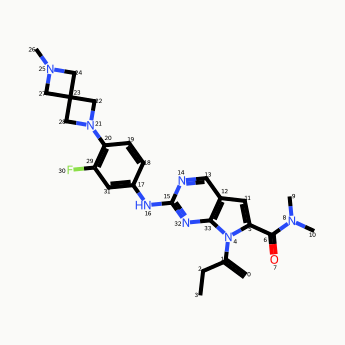 C=C(CC)n1c(C(=O)N(C)C)cc2cnc(Nc3ccc(N4CC5(CN(C)C5)C4)c(F)c3)nc21